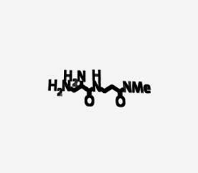 CNC(=O)CCNC(=O)C(N)CN